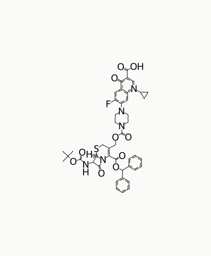 CC(C)(C)OC(=O)NC1C(=O)N2C(C(=O)OC(c3ccccc3)c3ccccc3)=C(COC(=O)N3CCN(c4cc5c(cc4F)c(=O)c(C(=O)O)cn5C4CC4)CC3)CS[C@H]12